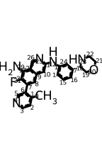 Cc1ccncc1-c1cc2cc(Nc3cccc([C@H]4COCCN4)c3)ncc2c(N)c1F